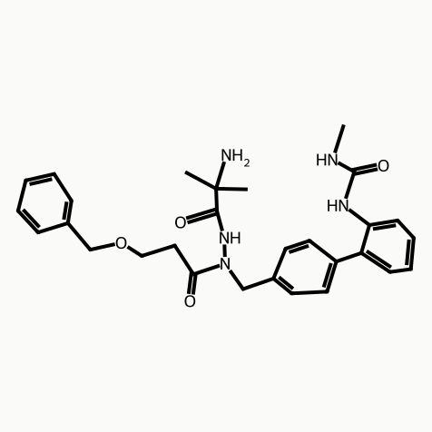 CNC(=O)Nc1ccccc1-c1ccc(CN(NC(=O)C(C)(C)N)C(=O)CCOCc2ccccc2)cc1